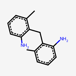 Cc1cccc(N)c1Cc1c(C)cccc1N